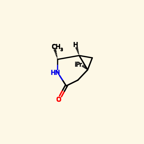 CC(C)[C@]12CC(=O)N[C@H](C)[C@H]1C2